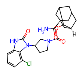 NC(=O)[C@]12CC3CC(C1)C(OC(=O)N1CC[C@@H](n4c(=O)[nH]c5cccc(Cl)c54)C1)[C@@H](C3)C2